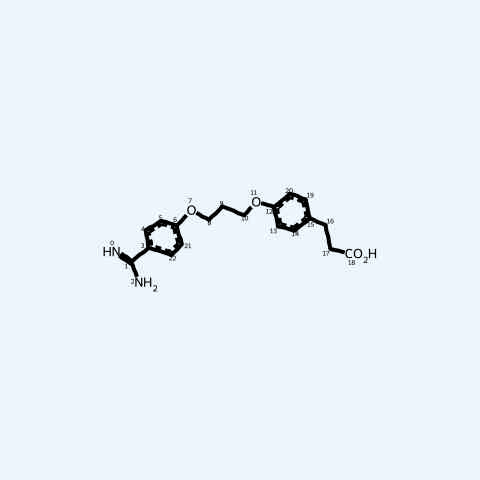 N=C(N)c1ccc(OCCCOc2ccc(CCC(=O)O)cc2)cc1